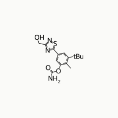 Cc1c(OC(N)=O)cc(-c2nc(CO)ns2)cc1C(C)(C)C